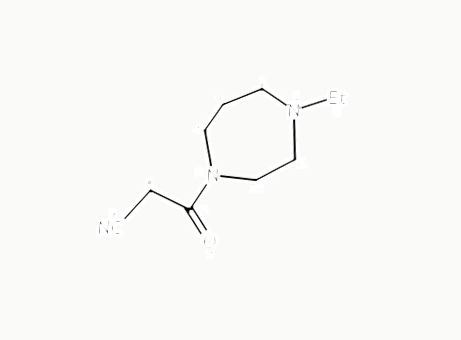 CCN1CCCN(C(=O)CC#N)CC1